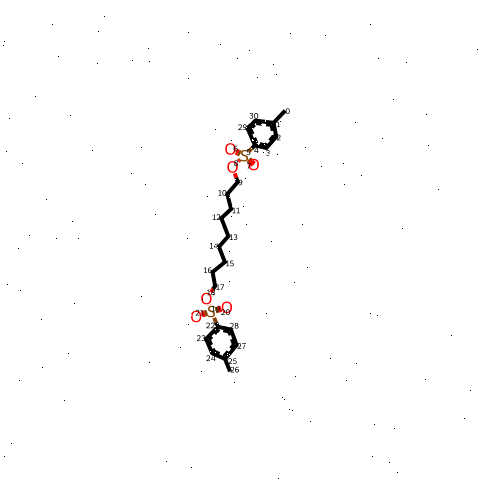 Cc1ccc(S(=O)(=O)OCCCCCCCCCOS(=O)(=O)c2ccc(C)cc2)cc1